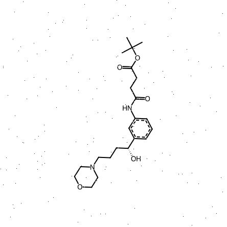 CC(C)(C)OC(=O)CCC(=O)Nc1cccc([C@H](O)CCCN2CCOCC2)c1